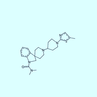 Cc1cnc(N2CCC(N3CCC4(CC3)CN(C(=O)N(C)C)c3ccccc34)CC2)s1